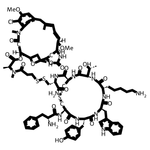 COc1cc2cc(c1Cl)N(C)C(=O)C[C@H](OC(=O)[C@H](C)N(C)C(=O)CCSSC[C@H](NC(=O)[C@@H]1CSSC[C@H](NC(=O)[C@H](N)Cc3ccccc3)C(=O)N[C@@H](Cc3ccc(O)cc3)C(=O)N[C@H](Cc3c[nH]c4ccccc34)C(=O)N[C@@H](CCCCCN)C(=O)N[C@@H]([C@@H](C)O)C(=O)N1)C(N)=O)[C@@]1(C)CC(C)(O1)[C@@H]1C[C@@](O)(NC(=O)O1)[C@H](OC)/C=C/C=C(\C)C2